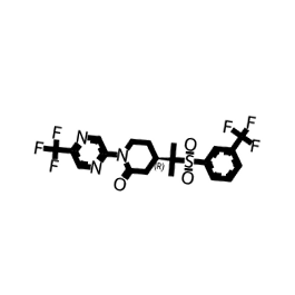 CC(C)([C@@H]1CCN(c2cnc(C(F)(F)F)cn2)C(=O)C1)S(=O)(=O)c1cccc(C(F)(F)F)c1